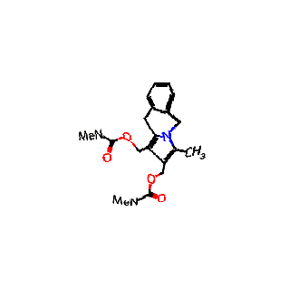 CNC(=O)OCc1c(COC(=O)NC)c2n(c1C)Cc1ccccc1C2